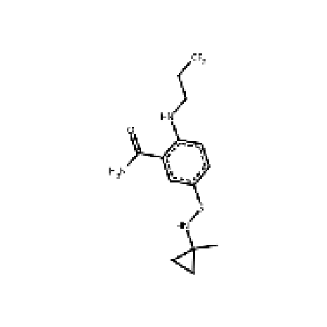 CC1(NSc2ccc(NCCC(F)(F)F)c(C(N)=O)c2)CC1